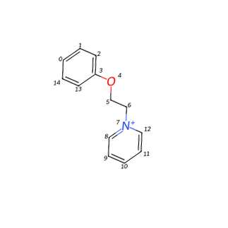 c1ccc(OCC[n+]2ccccc2)cc1